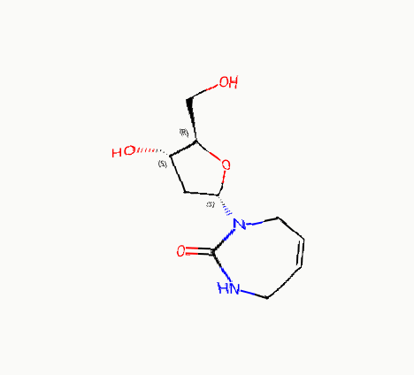 O=C1NCC=CCN1[C@@H]1C[C@H](O)[C@@H](CO)O1